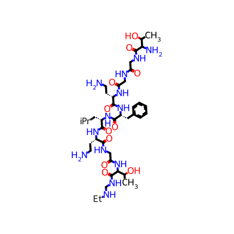 CCNCNC(=O)C(NC(=O)CNC(=O)[C@H](CCN)NC(=O)[C@H](CC(C)C)NC(=O)[C@@H](Cc1ccccc1)NC(=O)[C@H](CCN)NC(=O)CNC(=O)CNC(=O)C(N)C(C)O)C(C)O